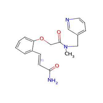 CN(Cc1cccnc1)C(=O)COc1ccccc1/C=C/C(N)=O